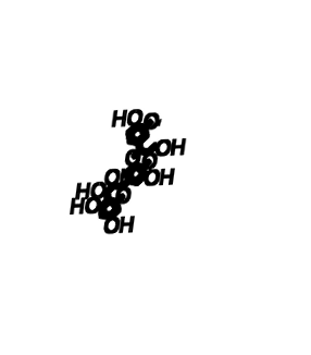 COc1cc(C2Oc3cc(C4Oc5cc(O)cc(O)c5C(O)C4O)cc(O)c3OC2CO)ccc1O